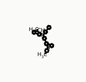 CC1C=CC(n2c3ccccc3c3cc(-c4ccc(N(c5ccc(-c6ccccc6)cc5)c5ccc6c(c5)C(C)(C)c5ccccc5-6)cc4)ccc32)=CC1